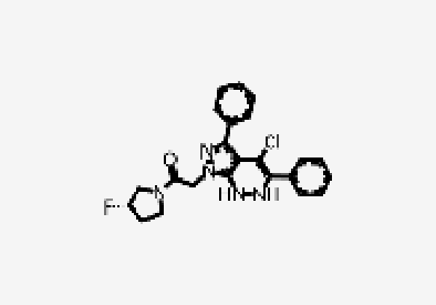 O=C(Cn1nc(-c2ccccc2)c2c1NNC(c1ccccc1)=C2Cl)N1CC[C@H](F)C1